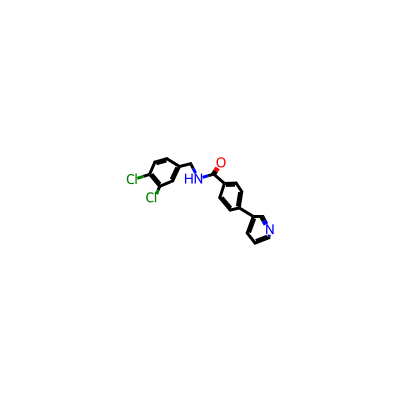 O=C(NCc1ccc(Cl)c(Cl)c1)c1ccc(-c2cccnc2)cc1